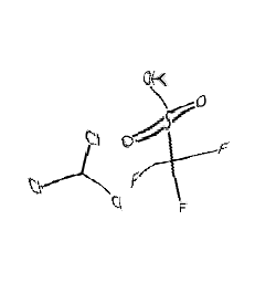 ClC(Cl)Cl.O=S(=O)(O)C(F)(F)F